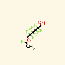 C=C(F)OCC(F)(F)C(F)(F)C(F)(F)C(F)(F)CO